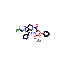 CC(C)(C)OC(=O)N[C@H](COc1ccccc1)C(=O)N1CCC2=NN(CC(F)F)C(=O)[C@]2(Cc2ccccn2)C1